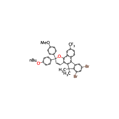 CCCCOc1ccc(C2(c3ccc(OC)cc3)C=Cc3c4c(c5ccc(C(F)(F)F)cc5c3O2)-c2cc(Br)cc(Br)c2C4(C)C)cc1